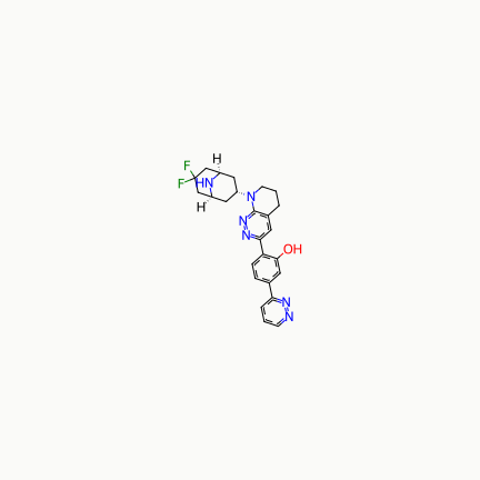 Oc1cc(-c2cccnn2)ccc1-c1cc2c(nn1)N([C@H]1C[C@@H]3CC(F)(F)C[C@H](C1)N3)CCC2